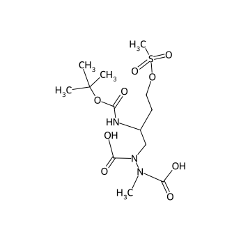 CN(C(=O)O)N(CC(CCOS(C)(=O)=O)NC(=O)OC(C)(C)C)C(=O)O